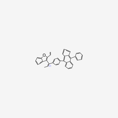 C=Cc1oc2ccccc2c1/C(=C\C)c1ccc(-c2c3ccccc3c(-c3ccccc3)c3ccccc23)cc1